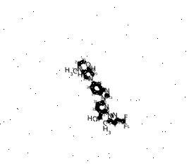 Cc1cc(C(F)F)nn1-c1nc(-n2cnc3cc(N4C[C@H]5OCCN(C)[C@H]5C4)ccc32)ccc1CO